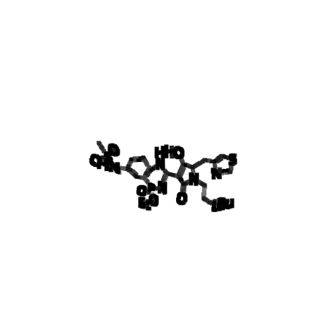 CCOP1(=O)N=C(C2=C(O)C(Cc3cscn3)N(CCC(C)(C)C)C2=O)Nc2ccc(NS(C)(=O)=O)cc21